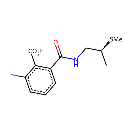 CS[C@@H](C)CNC(=O)c1cccc(I)c1C(=O)O